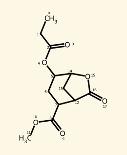 CCC(=O)OC1CC(C(=O)OC)C2CC1OC2=O